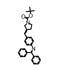 CC(C)(C)OC(=O)N1CC/C(=C\c2ccc(N=C(c3ccccc3)c3ccccc3)cc2)C1